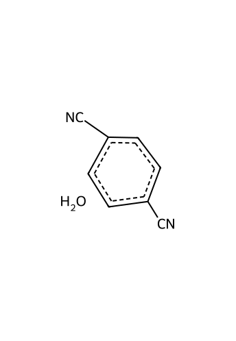 N#Cc1ccc(C#N)cc1.O